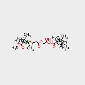 CCC(C)(C)CC(C)(C(=O)OCC(O)COC(=O)CCSC(C)(CC)CC(C)(C(=O)OC)C(C)(C)CC)C(C)(C)CC